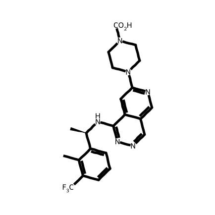 Cc1c([C@@H](C)Nc2nncc3cnc(N4CCN(C(=O)O)CC4)cc23)cccc1C(F)(F)F